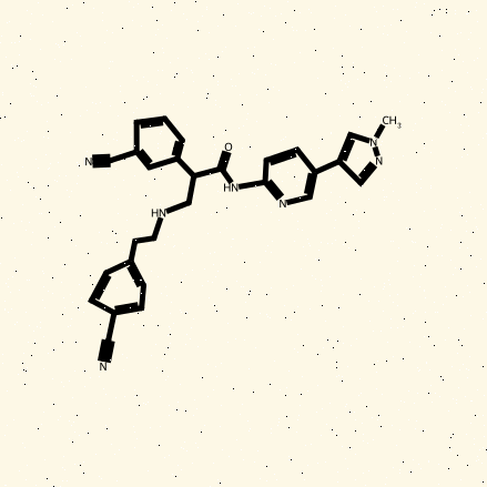 Cn1cc(-c2ccc(NC(=O)C(CNCCc3ccc(C#N)cc3)c3cccc(C#N)c3)nc2)cn1